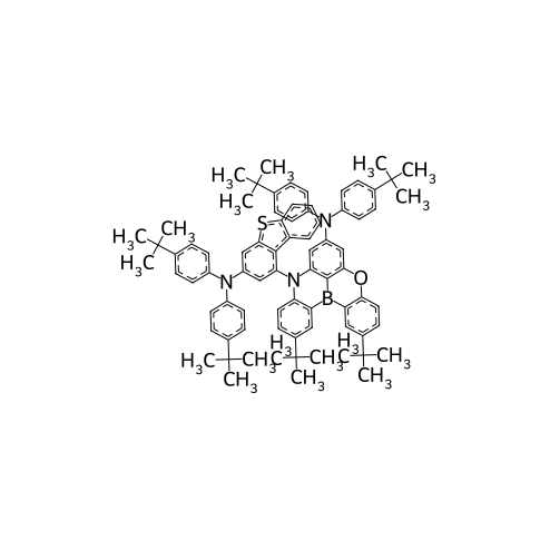 CC(C)(C)c1ccc(N(c2ccc(C(C)(C)C)cc2)c2cc3c4c(c2)N(c2cc(N(c5ccc(C(C)(C)C)cc5)c5ccc(C(C)(C)C)cc5)cc5sc6ccccc6c25)c2ccc(C(C)(C)C)cc2B4c2cc(C(C)(C)C)ccc2O3)cc1